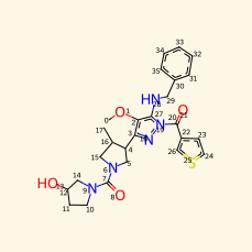 COc1c(C2CN(C(=O)N3CCC(O)C3)CC2C)nn(C(=O)c2ccsc2)c1NCc1ccccc1